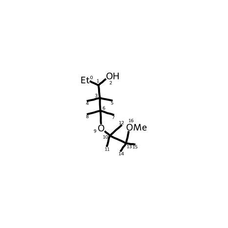 CCC(O)C(C)(C)C(C)(C)OC(C)(C)C(C)(C)OC